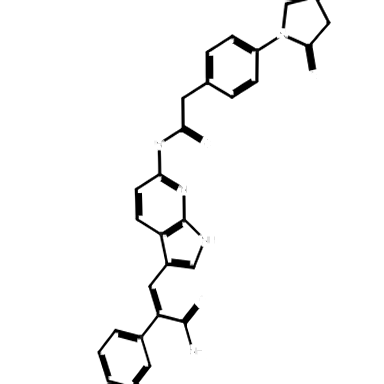 NC(=O)C(=Cc1c[nH]c2nc(NC(=O)Cc3ccc(N4CCCC4=O)cc3)ccc12)c1ccccc1